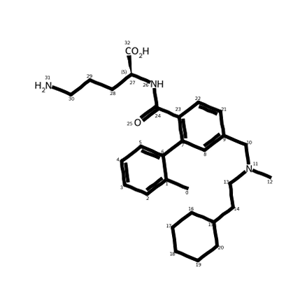 Cc1ccccc1-c1cc(CN(C)CCC2CCCCC2)ccc1C(=O)N[C@@H](CCCN)C(=O)O